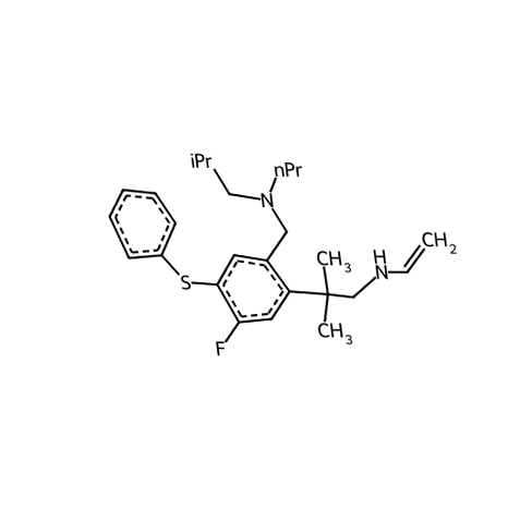 C=CNCC(C)(C)c1cc(F)c(Sc2ccccc2)cc1CN(CCC)CC(C)C